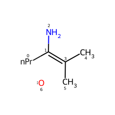 CCCC(N)=C(C)C.[O]